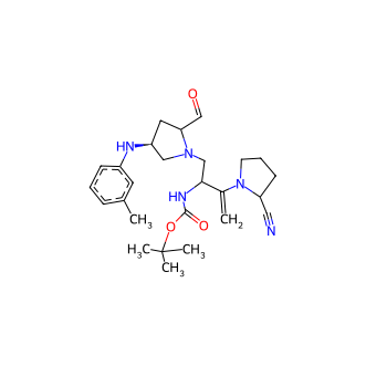 C=C(C(CN1C[C@@H](Nc2cccc(C)c2)CC1C=O)NC(=O)OC(C)(C)C)N1CCCC1C#N